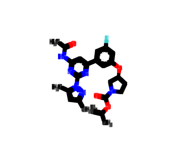 C=C(C)OC(=O)N1CC[C@H](Oc2cc(F)cc(-c3cc(NC(C)=O)nc(-n4nc(C)cc4C)n3)c2)C1